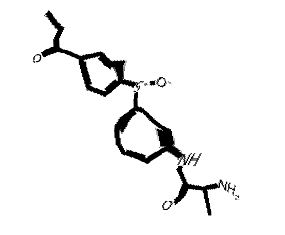 CCC(=O)c1ccc([S+]([O-])c2cccc(NC(=O)C(C)N)c2)cc1